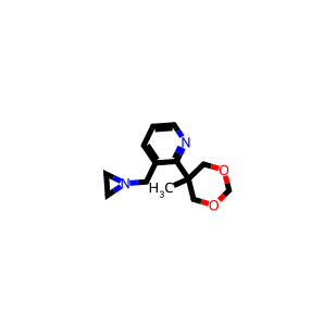 CC1(c2ncccc2CN2CC2)COCOC1